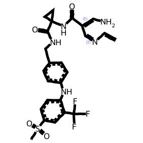 C=C/N=C\C(=C/N)C(=O)NC1(C(=O)NCc2ccc(Nc3ccc(S(C)(=O)=O)cc3C(F)(F)F)cc2)CC1